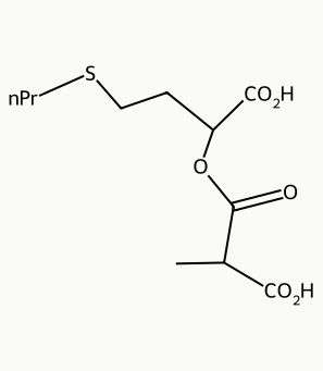 CCCSCCC(OC(=O)C(C)C(=O)O)C(=O)O